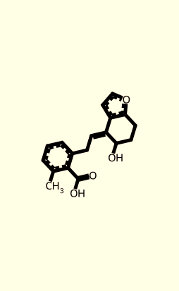 Cc1cccc(C/C=C2/c3ccoc3CCC2O)c1C(=O)O